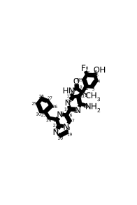 C[C@@]1(c2ccc(O)c(F)c2)C(=O)Nc2nc(-c3cn4ccnc4c(Cc4ccccc4)n3)nc(N)c21